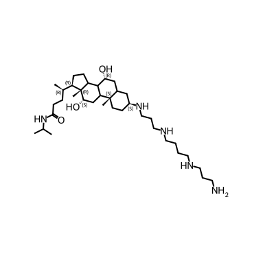 CC(C)NC(=O)CC[C@@H](C)[C@H]1CCC2C3C(C[C@H](O)[C@@]21C)[C@@]1(C)CC[C@H](NCCCNCCCCNCCCN)CC1C[C@H]3O